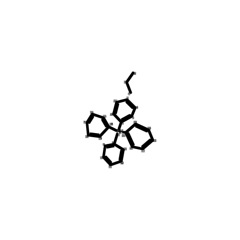 CCC.c1ccc([PH](c2ccccc2)(c2ccccc2)c2ccccc2)cc1